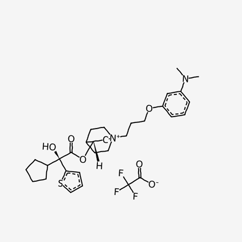 CN(C)c1cccc(OCCC[N+]23CCC(CC2)[C@@H](OC(=O)[C@](O)(c2cccs2)C2CCCC2)C3)c1.O=C([O-])C(F)(F)F